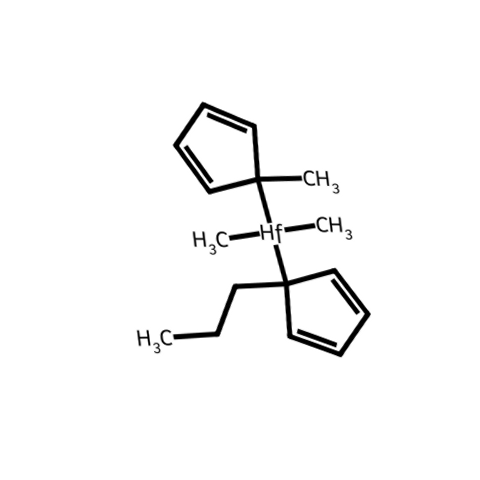 CCC[C]1([Hf]([CH3])([CH3])[C]2(C)C=CC=C2)C=CC=C1